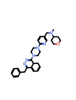 CN(Cc1ccc(N2CCN(C3=NN=C(Cc4ccccc4)C4=CC=CCC43)CC2)nc1)C1CCOCC1